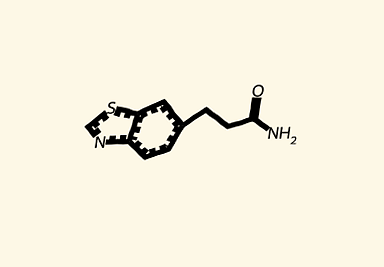 NC(=O)CCc1ccc2ncsc2c1